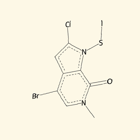 Cn1cc(Br)c2cc(Cl)n(SI)c2c1=O